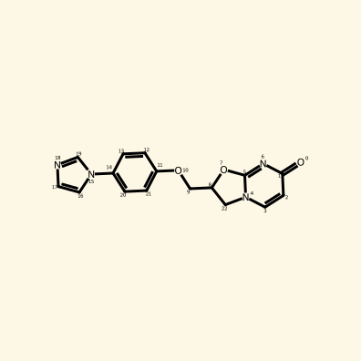 O=c1ccn2c(n1)OC(COc1ccc(-n3ccnc3)cc1)C2